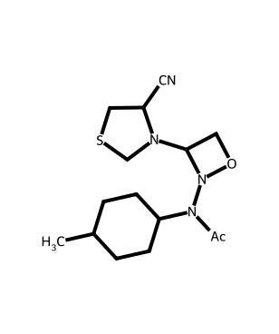 CC(=O)N(C1CCC(C)CC1)N1OCC1N1CSCC1C#N